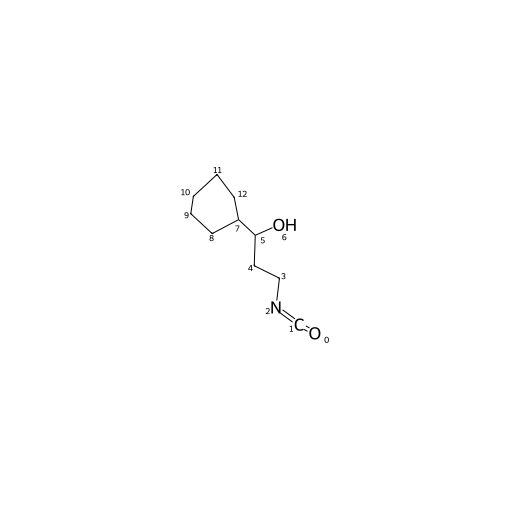 O=C=NCCC(O)C1CCCCC1